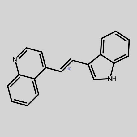 C(=C\c1c[nH]c2ccccc12)/c1ccnc2ccccc12